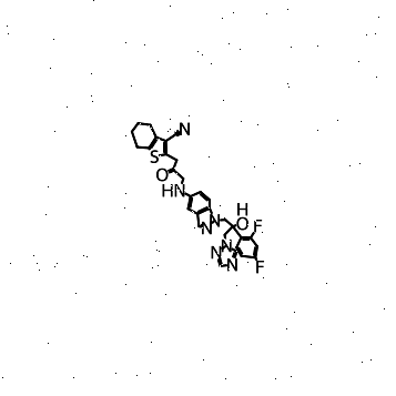 N#Cc1c(CC(=O)CNc2ccc3c(cnn3CC(O)(Cn3cncn3)c3ccc(F)cc3F)c2)sc2c1CCCC2